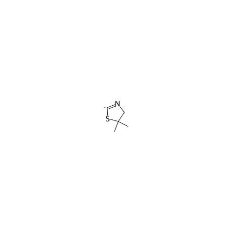 CC1(C)CN=[C]S1